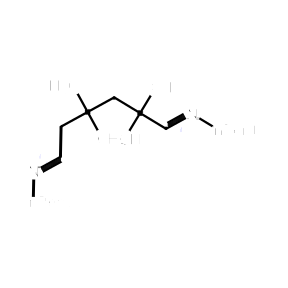 CCCCC/N=C/CC(C)(C)CC(C)(C)/C=N/CCCCC